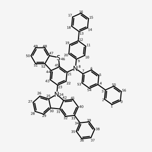 c1ccc(-c2ccc(N(c3ccc(-c4ccccc4)cc3)c3cc(-n4c5ccccc5c5cc(-c6ccccc6)ccc54)cc4c3sc3ccccc34)cc2)cc1